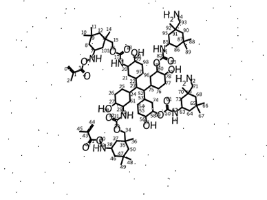 C=C(C)C(=O)ONC1CC(C)(C)CC(C)(COC(=O)NC2CC(C(C3CCC(O)C(NC(=O)OCC4(C)CC(NOC(=O)C(=C)C)CC(C)(C)C4)C3)C(C3CCC(O)C(OC(=O)NC4CC(C)(C)CC(C)(CN)C4)C3)C3CCC(O)C(OC(=O)NC4CC(C)(C)CC(C)(CN)C4)C3)CCC2O)C1